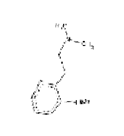 COc1c[c]ccc1CCN(C)C